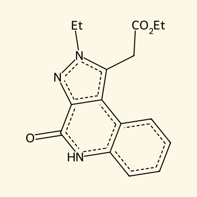 CCOC(=O)Cc1c2c(nn1CC)c(=O)[nH]c1ccccc12